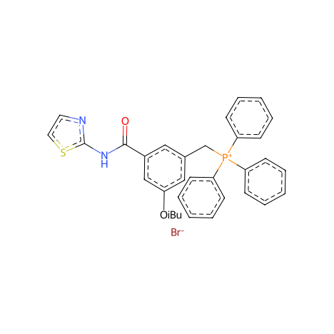 CC(C)COc1cc(C[P+](c2ccccc2)(c2ccccc2)c2ccccc2)cc(C(=O)Nc2nccs2)c1.[Br-]